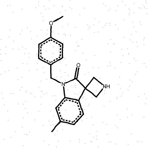 COc1ccc(CN2C(=O)C3(CNC3)c3ccc(C)cc32)cc1